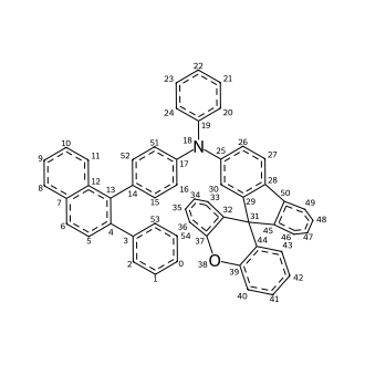 c1ccc(-c2ccc3ccccc3c2-c2ccc(N(c3ccccc3)c3ccc4c(c3)C3(c5ccccc5Oc5ccccc53)c3ccccc3-4)cc2)cc1